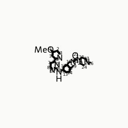 COc1ccnc(-c2ccnc(Nc3ccc4c(c3)CN(C(=O)N3CCN(C)CC3)C4)n2)c1